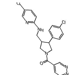 Cc1cc(C(=O)N2CC(CNc3ccc(Cl)cn3)C(c3ccc(Cl)cc3)C2)cnn1